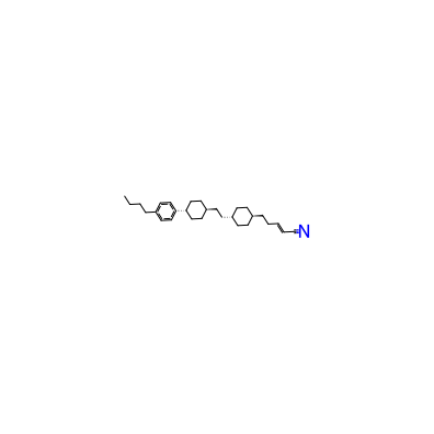 CCCCc1ccc([C@H]2CC[C@H](CC[C@H]3CC[C@H](CCC=CC#N)CC3)CC2)cc1